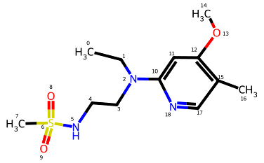 CCN(CCNS(C)(=O)=O)c1cc(OC)c(C)cn1